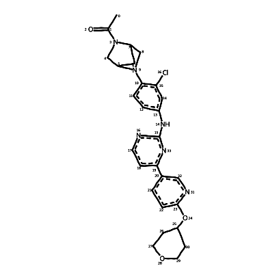 CC(=O)N1CC2CC1CN2c1ccc(Nc2nccc(-c3ccc(OC4CCOCC4)nc3)n2)cc1Cl